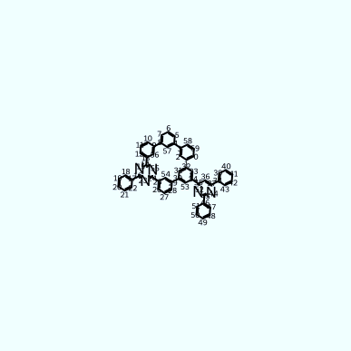 c1ccc(-c2cccc(-c3cccc(-c4nc(-c5ccccc5)nc(-c5cccc(-c6cccc(-c7cc(-c8ccccc8)nc(-c8ccccc8)n7)c6)c5)n4)c3)c2)cc1